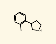 Cc1ccc[c]c1C1CCNC1